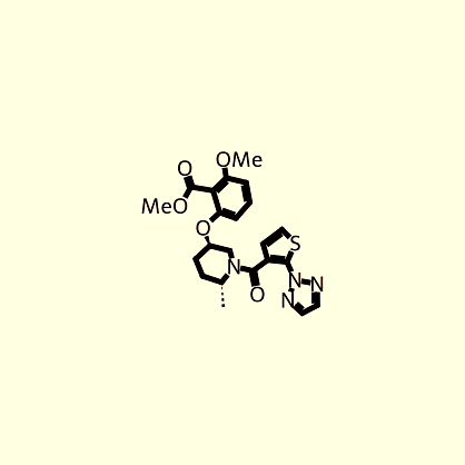 COC(=O)c1c(OC)cccc1O[C@@H]1CC[C@@H](C)N(C(=O)c2ccsc2-n2nccn2)C1